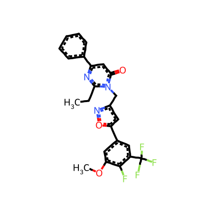 CCc1nc(-c2ccccc2)cc(=O)n1Cc1cc(-c2cc(OC)c(F)c(C(F)(F)F)c2)on1